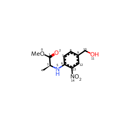 COC(=O)[C@H](C)Nc1ccc(CO)cc1[N+](=O)[O-]